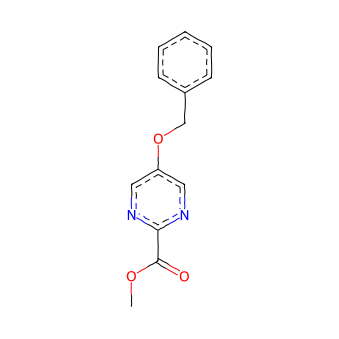 COC(=O)c1ncc(OCc2ccccc2)cn1